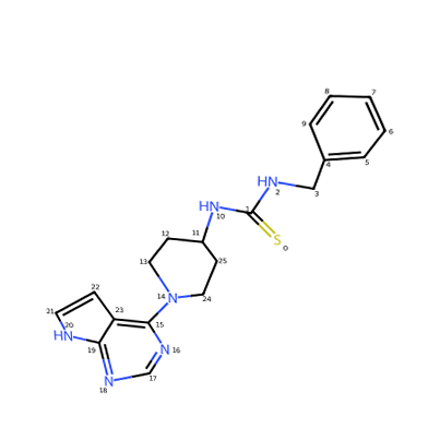 S=C(NCc1ccccc1)NC1CCN(c2ncnc3[nH]ccc23)CC1